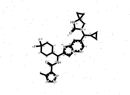 Cc1nonc1C(=O)NC(c1cn2ncc(C(C3CC3)N3CC4(CC4)NC3=O)cc2n1)C1CCC(F)(F)CC1